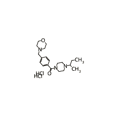 CCC(C)N1CCN(C(=O)c2ccc(CN3CCOCC3)cc2)CC1.Cl.Cl